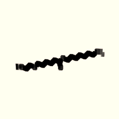 CCCCCCCCOC(=O)CCCCCOCCO